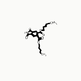 CCCCCOC(=O)c1cc2c(cc1C(=O)OCCCCC)C(=O)NC2=O